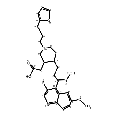 COc1ccc2ncc(F)c(C(CCC3CCN(CCSc4cccs4)CC3CC(=O)O)=NO)c2c1